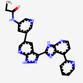 CCC(=O)Nc1cncc(-c2cnc3[nH]nc(-c4nc5c(-c6ccccn6)ccnc5[nH]4)c3c2)c1